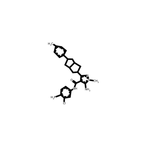 Cc1ccc(C2CC3CC(c4nn(C)c(N)c4C(=O)Nc4ccc(P)c(Cl)c4)CC3C2)cc1